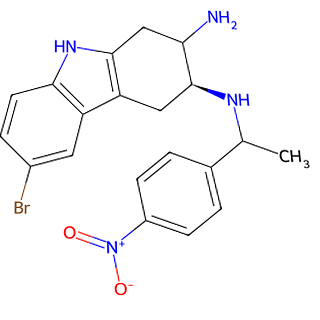 CC(N[C@H]1Cc2c([nH]c3ccc(Br)cc23)CC1N)c1ccc([N+](=O)[O-])cc1